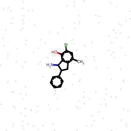 Cc1cc(Br)c(O)c2c1CC(c1ccccc1)C2N